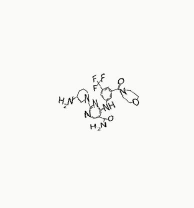 NC(=O)c1cnc(N2CCC[C@H](N)C2)nc1Nc1cc(C(=O)N2CCOCC2)cc(C(F)(F)F)c1